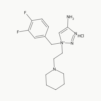 Cl.NC1=C[N+](CCN2CCCCC2)(Cc2ccc(F)c(F)c2)N=N1